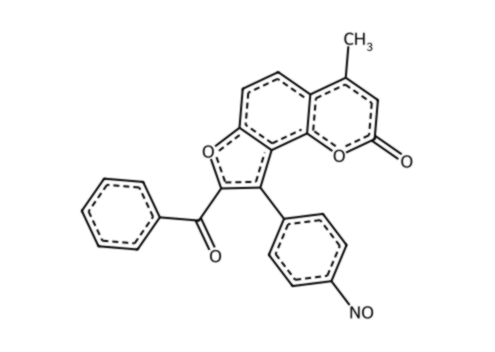 Cc1cc(=O)oc2c1ccc1oc(C(=O)c3ccccc3)c(-c3ccc(N=O)cc3)c12